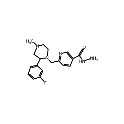 CN1CCN(Cc2ccc(C(=O)NN)cn2)C(c2cccc(F)c2)C1